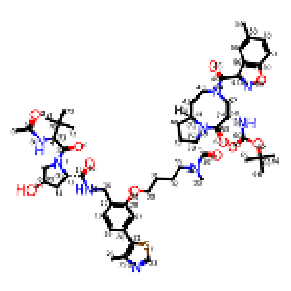 CC(=O)N[C@H](C(=O)N1C[C@H](O)C[C@H]1C(=O)NCc1ccc(-c2scnc2C)cc1OCCCCN(C)C(=O)[C@@H]1CC[C@@H]2CCN(C(=O)c3noc4ccc(C)cc34)C[C@H](NC(=O)OC(C)(C)C)C(=O)N21)C(C)(C)C